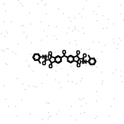 Cc1ccccc1NC(=O)C1C(=O)c2ccc(C(=O)c3ccc4c(c3)C(=O)C(C(=O)Nc3ccccc3C)C4=O)cc2C1=O